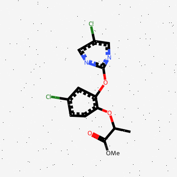 COC(=O)C(C)Oc1ccc(Cl)cc1Oc1ncc(Cl)cn1